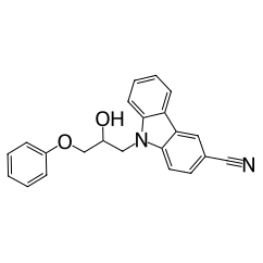 N#Cc1ccc2c(c1)c1ccccc1n2CC(O)COc1ccccc1